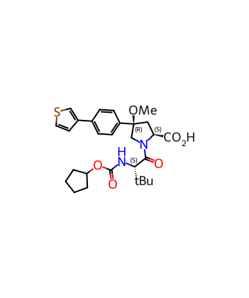 CO[C@@]1(c2ccc(-c3ccsc3)cc2)C[C@@H](C(=O)O)N(C(=O)[C@@H](NC(=O)OC2CCCC2)C(C)(C)C)C1